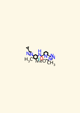 COCC(C)n1cnnc1-c1cccc(C(=O)Nc2cc(-n3cnc(C4CC4)c3)c(C)cc2F)n1